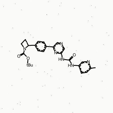 Cc1ccc(NC(=O)Nc2cncc(-c3ccc(C4CCN4C(=O)OC(C)(C)C)cc3)n2)cn1